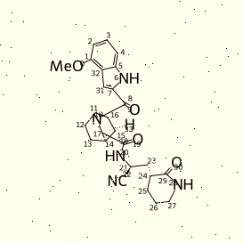 COc1cccc2[nH]c(C(=O)N3C4CCC(CC4)[C@@H]3C(=O)N[C@H](C#N)C[C@H]3CCCNC3=O)cc12